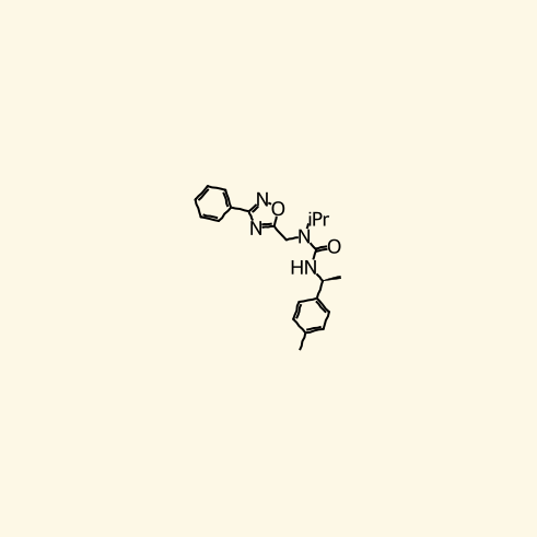 Cc1ccc([C@H](C)NC(=O)N(Cc2nc(-c3ccccc3)no2)C(C)C)cc1